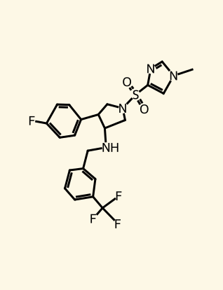 Cn1cnc(S(=O)(=O)N2CC(NCc3cccc(C(F)(F)F)c3)C(c3ccc(F)cc3)C2)c1